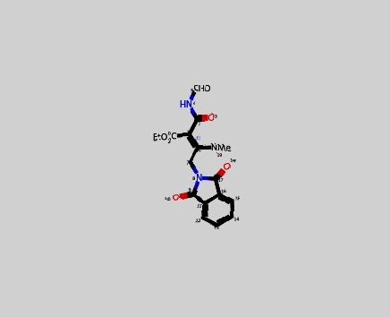 CCOC(=O)/C(C(=O)NC=O)=C(\CN1C(=O)c2ccccc2C1=O)NC